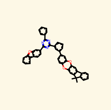 CC1(C)c2ccccc2-c2cc3c(cc21)Oc1ccc(-c2cccc(-c4nc(-c5ccccc5)nc(-c5ccc6c(c5)oc5ccccc56)n4)c2)cc1O3